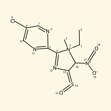 CC[N+]1(C)C(c2ncc(Cl)cn2)=NC(=S=O)C1[N+](=O)[O-]